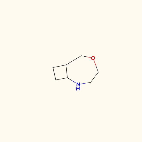 C1COCC2CCC2N1